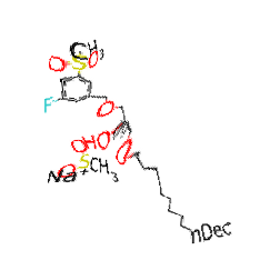 CCCCCCCCCCCCCCCCCCOC[C@@H](O)COCc1cc(F)cc(S(C)(=O)=O)c1.CS(=O)[O-].[Na+]